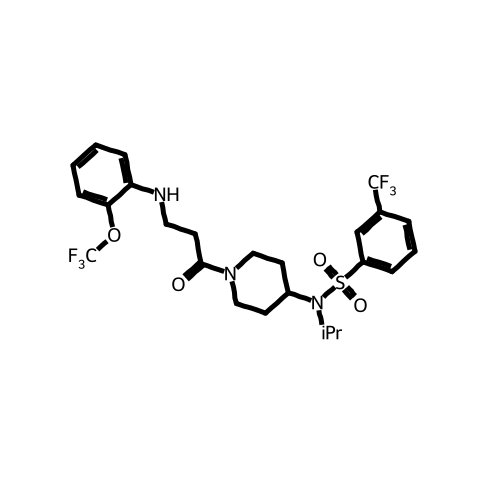 CC(C)N(C1CCN(C(=O)CCNc2ccccc2OC(F)(F)F)CC1)S(=O)(=O)c1cccc(C(F)(F)F)c1